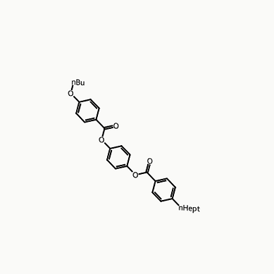 CCCCCCCc1ccc(C(=O)Oc2ccc(OC(=O)c3ccc(OCCCC)cc3)cc2)cc1